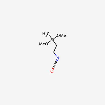 CO[Si](C)(CCN=C=O)OC